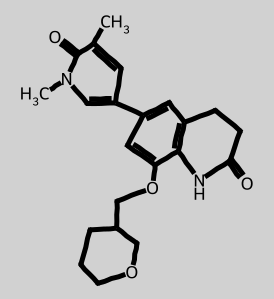 Cc1cc(-c2cc3c(c(OCC4CCCOC4)c2)NC(=O)CC3)cn(C)c1=O